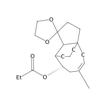 CCC(=O)O[C@H]1C/C(C)=C\CC23CCCC1C2C1(CC3)OCCO1